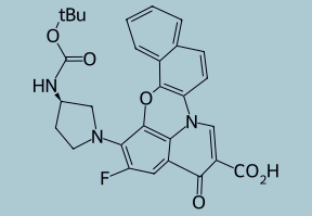 CC(C)(C)OC(=O)N[C@@H]1CCN(c2c(F)cc3c(=O)c(C(=O)O)cn4c3c2Oc2c-4ccc3ccccc23)C1